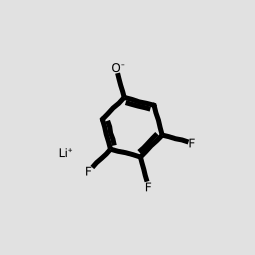 [Li+].[O-]c1cc(F)c(F)c(F)c1